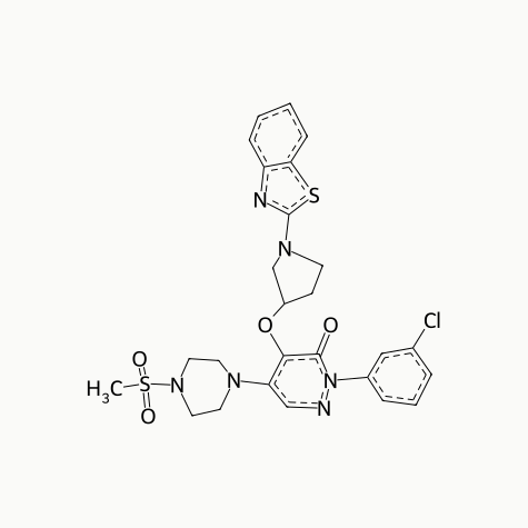 CS(=O)(=O)N1CCN(c2cnn(-c3cccc(Cl)c3)c(=O)c2OC2CCN(c3nc4ccccc4s3)C2)CC1